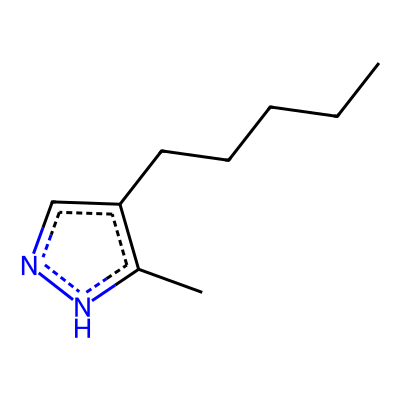 CCCCCc1cn[nH]c1C